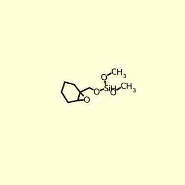 CO[SiH](OC)OCC12CCCCC1O2